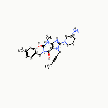 CC#CCn1c(N2CCC[C@@H](N)C2)nc2c1c(=O)n(Cc1ccc(C#N)cc1)c(=O)n2C